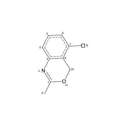 CC1=Nc2cccc(Cl)c2CO1